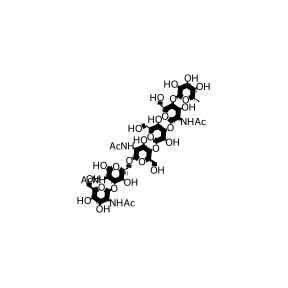 CC(=O)N[C@H]1[C@H](O[C@H]2[C@@H](O)[C@@H](CO)O[C@@H](O[C@H]3[C@H](O)[C@@H](NC(C)=O)[C@H](OC[C@H]4OC(O)[C@H](NC(C)=O)[C@@H](O[C@@H]5O[C@H](CO)[C@@H](O)[C@H](O)[C@H]5NC(C)=O)[C@H]4O)O[C@@H]3CO)[C@@H]2O)O[C@H](CO)[C@@H](O[C@@H]2O[C@@H](C)[C@@H](O)[C@@H](O)[C@@H]2O)[C@@H]1O